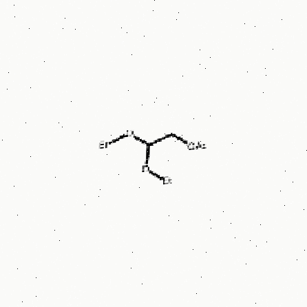 CCOC(COC(C)=O)OCC